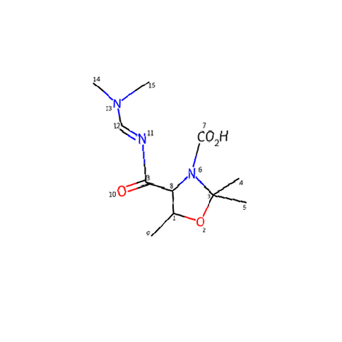 CC1OC(C)(C)N(C(=O)O)C1C(=O)N=CN(C)C